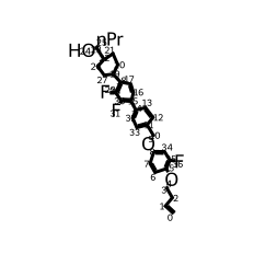 C=CCCOc1ccc(OCc2ccc(-c3ccc(C4CCC(C(O)CCC)CC4)c(F)c3F)cc2)cc1F